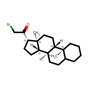 C[C@]12CC[C@H]3[C@@H](CCC4CCCC[C@@]43C)[C@@H]1CC[C@@H]2C(=O)CBr